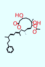 CC(=O)O[C@H]1/C=C/[C@H](C)[C@@H](/C(C)=C/C=C/C(C)CCc2ccccc2)OC(=O)C[C@@H](O)CC[C@]1(C)O